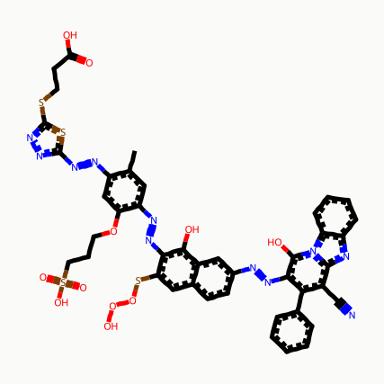 Cc1cc(N=Nc2c(SOOO)cc3ccc(N=Nc4c(-c5ccccc5)c(C#N)c5nc6ccccc6n5c4O)cc3c2O)c(OCCCS(=O)(=O)O)cc1N=Nc1nnc(SCCC(=O)O)s1